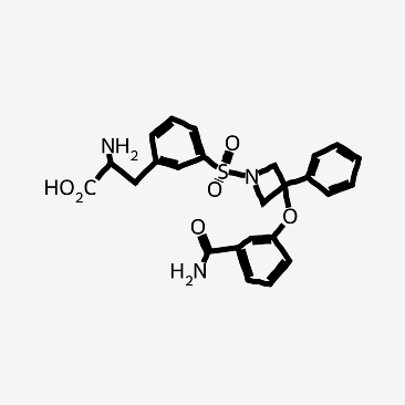 NC(=O)c1cccc(OC2(c3ccccc3)CN(S(=O)(=O)c3cccc(CC(N)C(=O)O)c3)C2)c1